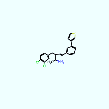 CC(N)C(/C=C/c1cccc(-c2ccsc2)c1)Cc1ccc(Cl)c(Cl)c1